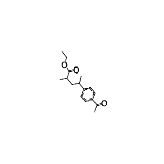 CCOC(=O)C(C)CC(C)c1ccc(C(C)=O)cc1